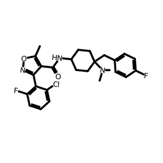 Cc1onc(-c2c(F)cccc2Cl)c1C(=O)NC1CCC(Cc2ccc(F)cc2)(N(C)C)CC1